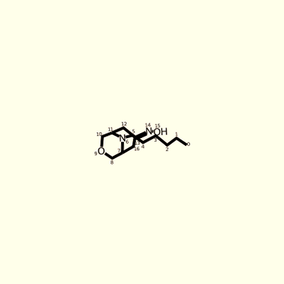 CCCCCCN1C2COCC1CC(=NO)C2